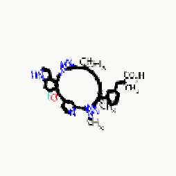 C[C@@H](Cc1cccc([C@@]2(C)CCCCC(C)(C)c3cn(nn3)Cc3c(c(F)cc4[nH]ccc34)C(=O)c3ccnc(c3)-c3nc2nn3C)c1)C(=O)O